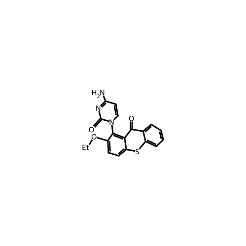 CCOc1ccc2sc3ccccc3c(=O)c2c1-n1ccc(N)nc1=O